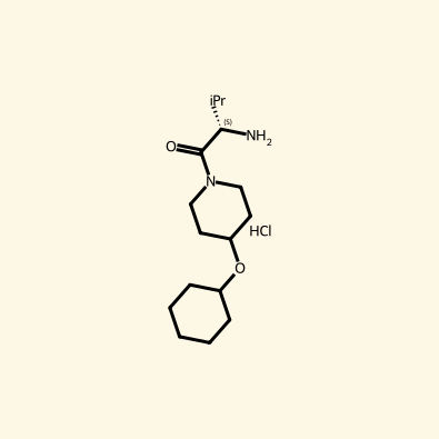 CC(C)[C@H](N)C(=O)N1CCC(OC2CCCCC2)CC1.Cl